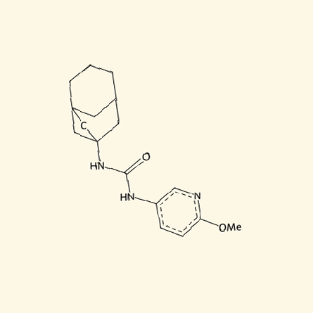 COc1ccc(NC(=O)NC23CC4CCCC(C4)(C2)C3)cn1